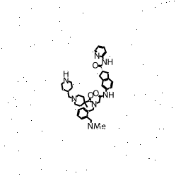 CNCc1ccccc1CN(CC(=O)Nc1ccc2c(c1)C[C@H](C(=O)Nc1ccccn1)C2)C(=O)C1(C)CCN(CC2CCNCC2)CC1